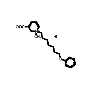 C[N+]1(CCCCCCCOc2ccccc2)C=CC=C(C(=O)[O-])C1.I